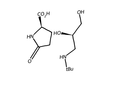 CC(C)(C)NC[C@@H](O)CO.O=C1CC[C@H](C(=O)O)N1